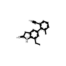 CCc1cc(-c2c(C)cccc2C#N)cc2c1NC(=O)C2